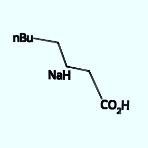 CCCCCCCC(=O)O.[NaH]